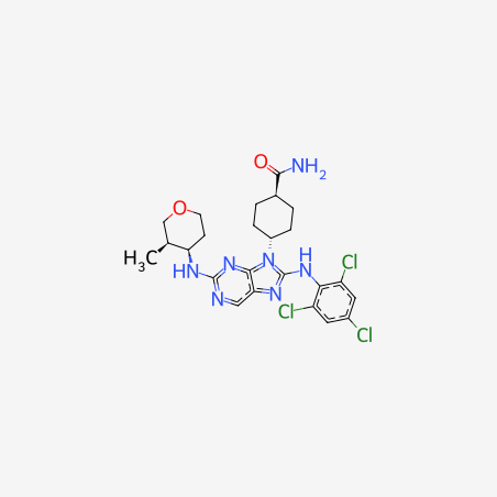 C[C@H]1COCC[C@H]1Nc1ncc2nc(Nc3c(Cl)cc(Cl)cc3Cl)n([C@H]3CC[C@H](C(N)=O)CC3)c2n1